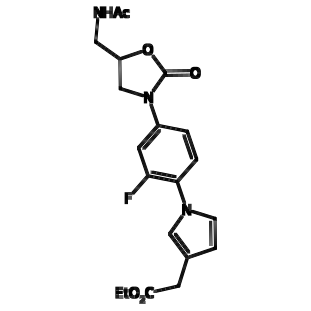 CCOC(=O)Cc1ccn(-c2ccc(N3CC(CNC(C)=O)OC3=O)cc2F)c1